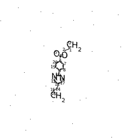 C=CCOC(=O)c1ccc(-c2ncc(CC=C)cn2)cc1